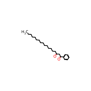 CCCCCCCCCCCCCCCC(=O)CC(=O)c1ccccc1